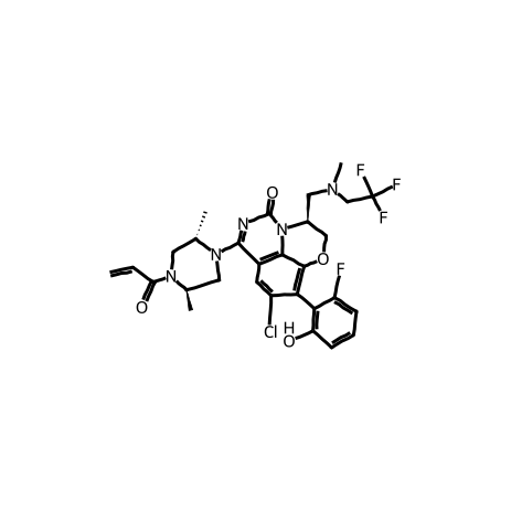 C=CC(=O)N1C[C@H](C)N(c2nc(=O)n3c4c(c(-c5c(O)cccc5F)c(Cl)cc24)OC[C@@H]3CN(C)CC(F)(F)F)C[C@H]1C